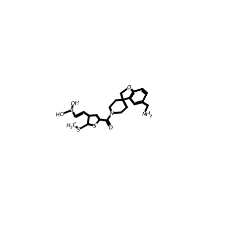 CSC1SC(C(=O)N2CCC3(CC2)COc2ccc(CN)cc23)CC1/C=C/B(O)O